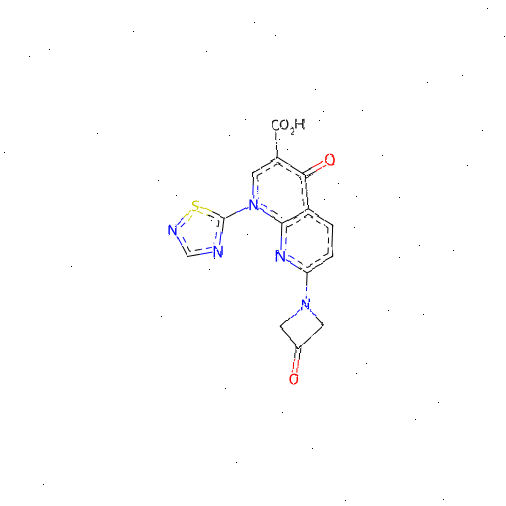 O=C1CN(c2ccc3c(=O)c(C(=O)O)cn(-c4ncns4)c3n2)C1